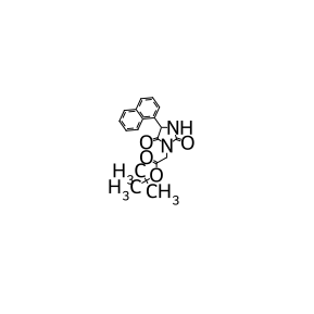 CC(C)(C)OC(=O)CN1C(=O)NC(c2cccc3ccccc23)C1=O